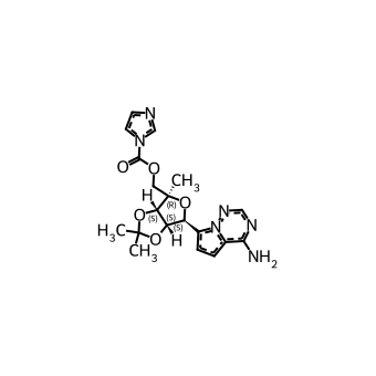 CC1(C)O[C@H]2[C@H](c3ccc4c(N)ncnn34)O[C@](C)(COC(=O)n3ccnc3)[C@H]2O1